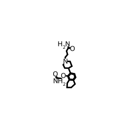 NC(=O)CCCN1CCC(c2ccc3c(c2OCC(N)=O)CCCC3)CC1